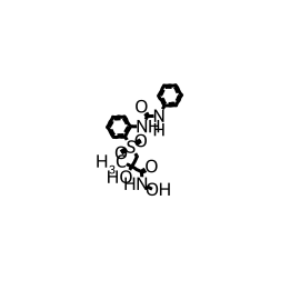 CC(O)(CS(=O)(=O)c1ccccc1NC(=O)Nc1ccccc1)C(=O)NO